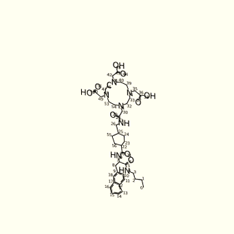 CCCCNC(=O)C(Cc1ccc2ccccc2c1)NC(=O)C1CCC(CNC(=O)CN2CCN(CC(=O)O)CCN(CC(=O)O)CCN(CC(=O)O)CC2)CC1